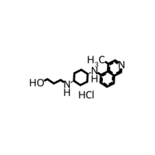 Cc1cncc2cccc(N[C@H]3CC[C@@H](NCCCO)CC3)c12.Cl